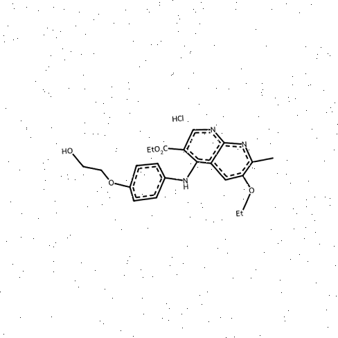 CCOC(=O)c1cnc2nc(C)c(OCC)cc2c1Nc1ccc(OCCO)cc1.Cl